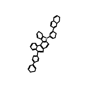 C1=CC(c2ccc(-c3cc4ccc5c(c6c(n5C5=CCCC(C7=CC8CCC=CC8C=C7)=C5)CCC=C6)c4c4ccccc34)cc2)=CCC1